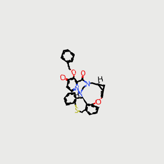 O=C1c2c(OCc3ccccc3)c(=O)ccn2N2CN1C[C@H]1C/C1=C/Oc1cccc3c1[C@H]2c1ccccc1SC3